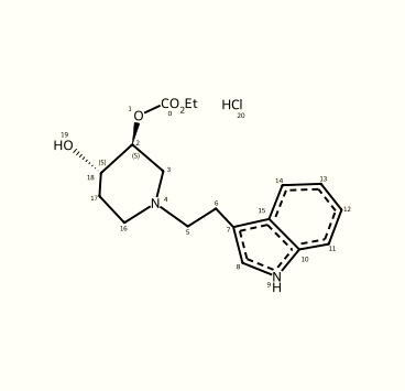 CCOC(=O)O[C@H]1CN(CCc2c[nH]c3ccccc23)CC[C@@H]1O.Cl